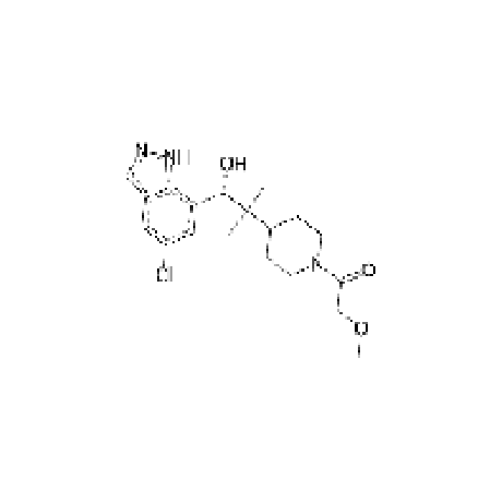 COCC(=O)N1CCC(C(C)(C)[C@@H](O)c2cc(Cl)cc3cn[nH]c23)CC1